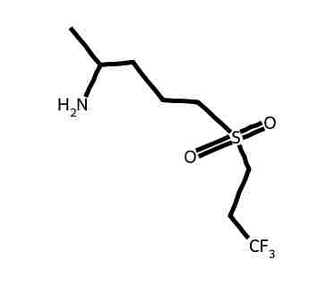 CC(N)CCCS(=O)(=O)CCC(F)(F)F